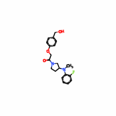 CN(c1ccccc1F)C1CCN(C(=O)COc2ccc(CO)cc2)C1